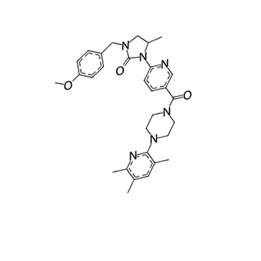 COc1ccc(CN2CC(C)N(c3ccc(C(=O)N4CCN(c5nc(C)c(C)cc5C)CC4)cn3)C2=O)cc1